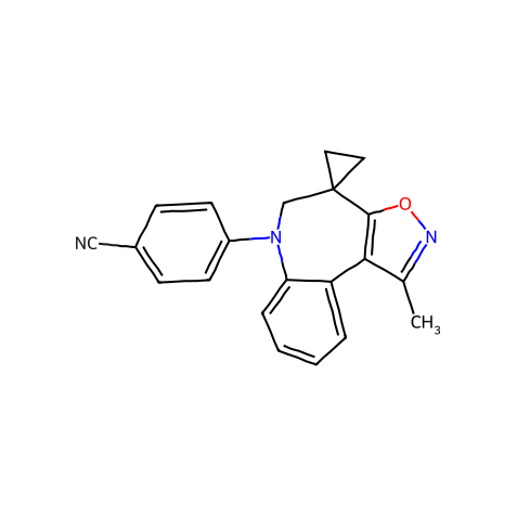 Cc1noc2c1-c1ccccc1N(c1ccc(C#N)cc1)CC21CC1